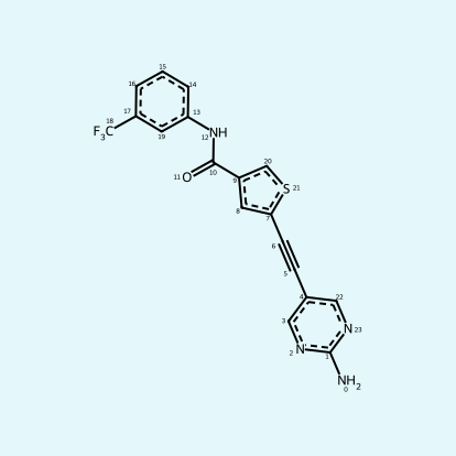 Nc1ncc(C#Cc2cc(C(=O)Nc3cccc(C(F)(F)F)c3)cs2)cn1